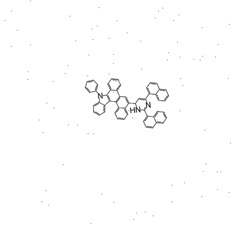 C1=C(c2cccc3ccccc23)N=C(c2cccc3ccccc23)NC1c1cc2c3ccccc3c3c(c4ccccc4n3-c3ccccc3)c2c2ccccc12